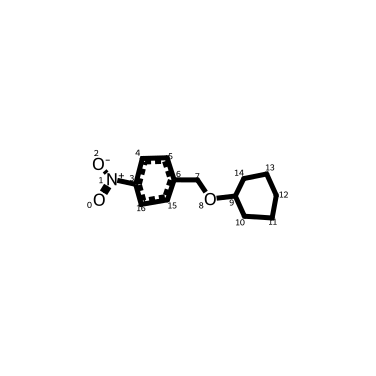 O=[N+]([O-])c1ccc(COC2CCCCC2)cc1